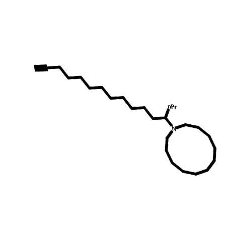 C#CCCCCCCCCCCC(CCC)N1CCCCCCCCCCC1